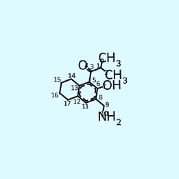 CC(C)C(=O)c1c(O)c(CN)cc2c1CCCC2